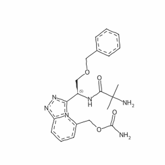 CC(C)(N)C(=O)N[C@H](COCc1ccccc1)c1nnc2cccc(COC(N)=O)n12